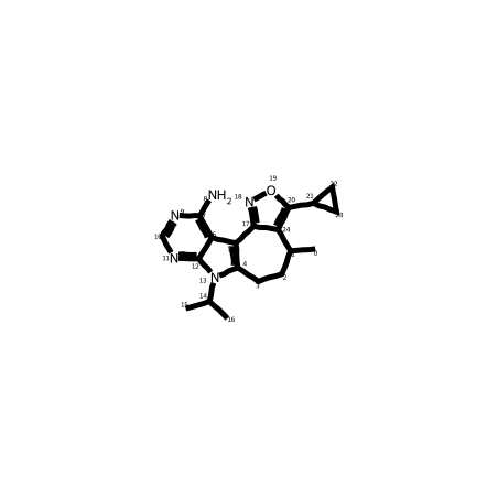 CC1CCc2c(c3c(N)ncnc3n2C(C)C)-c2noc(C3CC3)c21